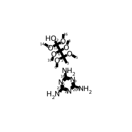 COC(C)(OC)C(OC)(OC)C(O)(OC)OC.Nc1nc(N)nc(N)n1